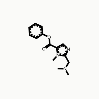 CN(C)Cc1ncc(C(=O)Oc2ccccc2)n1C